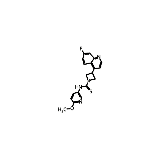 COc1ccc(NC(=S)N2CC(c3ccnc4cc(F)ccc34)C2)cn1